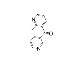 Cc1ncccc1C(=O)c1cccnc1